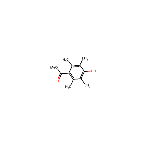 COC(=O)c1c(C)c(C)c(O)c(C)c1C